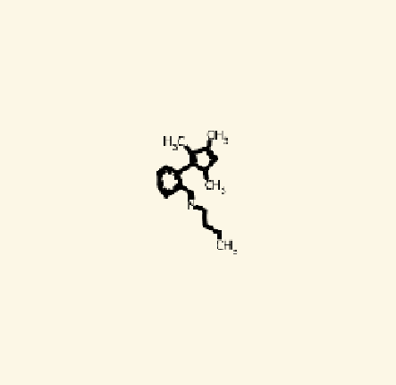 CCCC/N=C/c1ccccc1C1=C(C)C(C)=CC1C